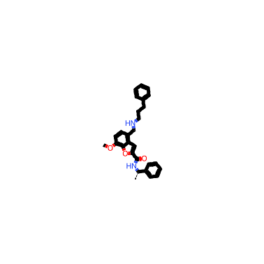 COc1ccc(CNCCCc2ccccc2)c2cc(C(=O)N[C@@H](C)c3ccccc3)oc12